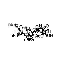 CCCCOCC(O[C@@H](O)[C@H](COCCCC)OCCCC)[C@H](C)O[C@@H]1OC(CO[C@]2(C(=O)OC)C[C@H]3OC(=O)N[C@H]3C([C@H](OC(C)=O)[C@H](O)CO)O2)[C@H](O)C(OCCCC)[C@@H]1OCCCC